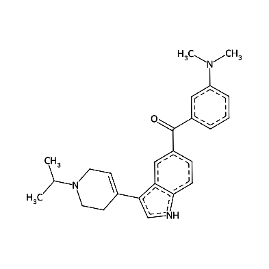 CC(C)N1CC=C(c2c[nH]c3ccc(C(=O)c4cccc(N(C)C)c4)cc23)CC1